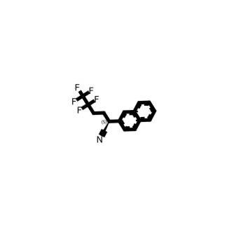 N#C[C@@H](CCC(F)(F)C(F)(F)F)c1ccc2ccccc2c1